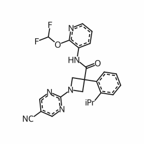 CC(C)c1ccccc1C1(C(=O)Nc2cccnc2OC(F)F)CN(c2ncc(C#N)cn2)C1